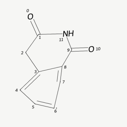 O=C1Cc2cc[c]cc2C(=O)N1